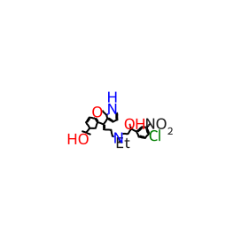 CCN(CC/C=C1\C2=CC=CNC2COC2=C1CC(C(C)(C)O)C=C2)CCC(O)c1ccc(Cl)c([N+](=O)[O-])c1